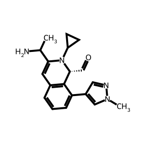 CC(N)C1=Cc2cccc(-c3cnn(C)c3)c2[C@@H](C=O)N1C1CC1